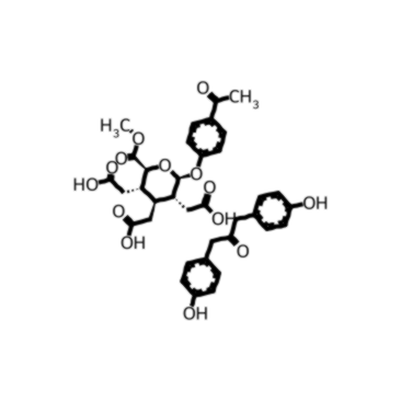 COC(=O)[C@H]1O[C@@H](Oc2ccc(C(C)=O)cc2)[C@H](CC(=O)O)[C@@H](CC(=O)O)[C@@H]1CC(=O)O.O=C(Cc1ccc(O)cc1)Cc1ccc(O)cc1